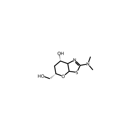 CN(C)C1=NC2C(O[C@H](CO)C[C@@H]2O)S1